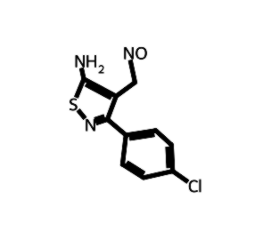 Nc1snc(-c2ccc(Cl)cc2)c1CN=O